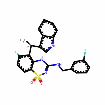 C[C@H](c1c(F)ccc2c1NC(NCc1cccc(F)c1)=NS2(=O)=O)c1c[nH]c2ccccc12